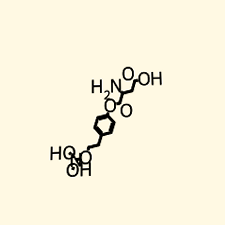 NC(CC(=O)O)C(=O)Oc1ccc(CCON(O)O)cc1